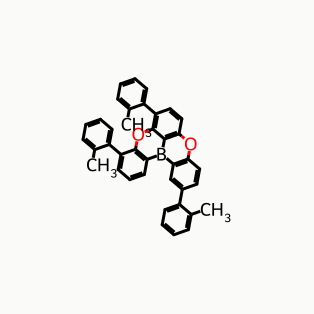 Cc1ccccc1-c1ccc2c(c1)B1c3cccc(-c4ccccc4C)c3Oc3c(-c4ccccc4C)ccc(c31)O2